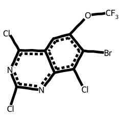 FC(F)(F)Oc1cc2c(Cl)nc(Cl)nc2c(Cl)c1Br